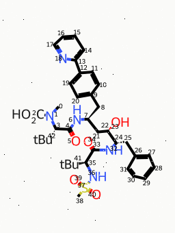 CN(C(=O)O)[C@H](C(=O)N[C@@H](Cc1ccc(-c2ccccn2)cc1)C[C@H](O)[C@H](Cc1ccccc1)NC(=O)[C@@H](NS(C)(=O)=O)C(C)(C)C)C(C)(C)C